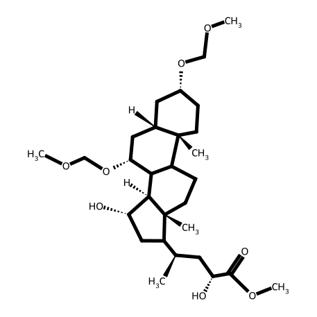 COCO[C@@H]1CC[C@]2(C)C3CC[C@]4(C)C([C@H](C)C[C@@H](O)C(=O)OC)C[C@H](O)[C@H]4C3[C@H](OCOC)C[C@@H]2C1